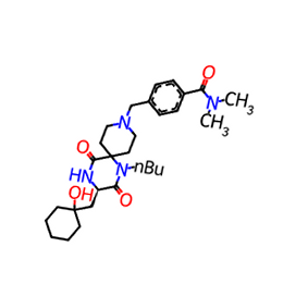 CCCCN1C(=O)[C@@H](CC2(O)CCCCC2)NC(=O)C12CCN(Cc1ccc(C(=O)N(C)C)cc1)CC2